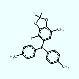 Cc1ccc(P(c2ccc(C)cc2)c2cc(C)c3c(c2I)OC(F)(F)O3)cc1